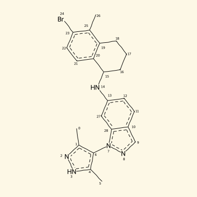 Cc1n[nH]c(C)c1-n1ncc2ccc(NC3CCCc4c3ccc(Br)c4C)cc21